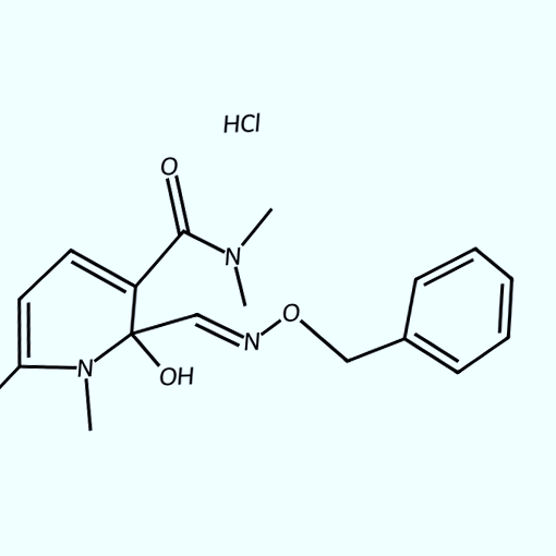 CC1=CC=C(C(=O)N(C)C)C(O)(C=NOCc2ccccc2)N1C.Cl